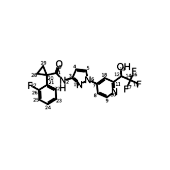 O=C(Nc1ccn(-c2ccnc(C(O)C(F)(F)F)c2)n1)C1(c2ccccc2F)CC1